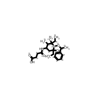 CCC1(C)CC(NC(=O)CCC(=O)O)C(C)C(C)(CC)N1OC(C)c1ccccc1